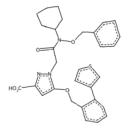 O=C(O)c1cc(OCc2ccccc2-c2ccsc2)n(CC(=O)N(OCc2ccccc2)C2CCCCC2)n1